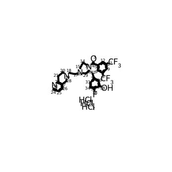 Cl.Cl.Cl.O=C(c1cc(C(F)(F)F)cc(C(F)(F)F)c1)N1CCN(CCN2CCc3ncccc3C2)C[C@H]1Cc1ccc(F)c(O)c1